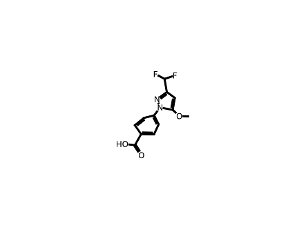 COc1cc(C(F)F)nn1-c1ccc(C(=O)O)cc1